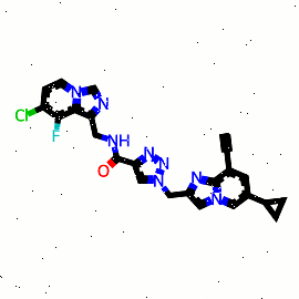 C#Cc1cc(C2CC2)cn2cc(Cn3cc(C(=O)NCc4ncn5ccc(Cl)c(F)c45)nn3)nc12